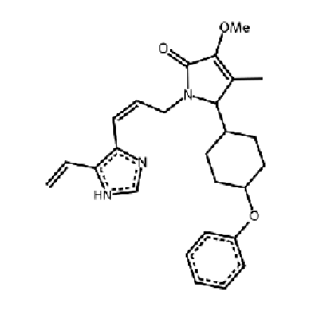 C=Cc1[nH]cnc1/C=C\CN1C(=O)C(OC)=C(C)C1C1CCC(Oc2ccccc2)CC1